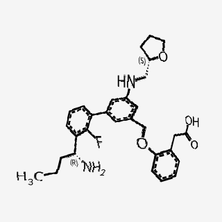 CCC[C@@H](N)c1cccc(-c2cc(COc3ccccc3CC(=O)O)cc(NC[C@@H]3CCCO3)c2)c1F